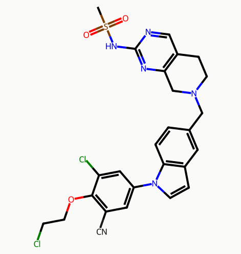 CS(=O)(=O)Nc1ncc2c(n1)CN(Cc1ccc3c(ccn3-c3cc(Cl)c(OCCCl)c(C#N)c3)c1)CC2